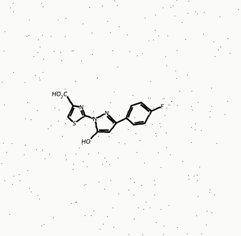 O=C(O)c1csc(-n2nc(-c3ccc(F)cc3)cc2O)n1